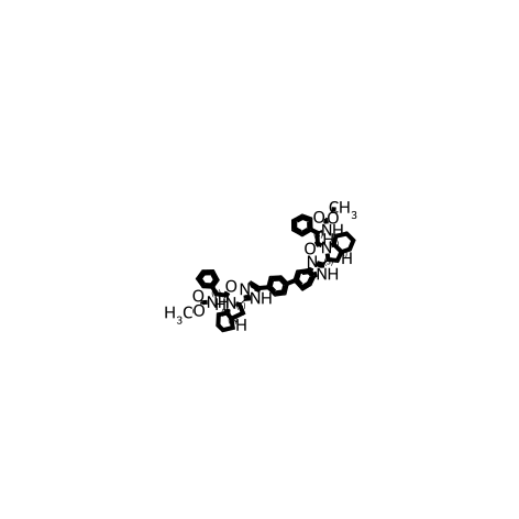 COC(=O)N[C@@H](C(=O)N1[C@@H]2CCCC[C@@H]2C[C@H]1c1ncc(-c2ccc(-c3ccc4[nH]c([C@@H]5C[C@H]6CCCC[C@H]6N5C(=O)[C@H](NC(=O)OC)c5ccccc5)nc4c3)cc2)[nH]1)c1ccccc1